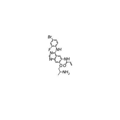 C=CC(=O)Nc1cc2c(Nc3ccc(Br)cc3F)ncnc2cc1OCC(C)N